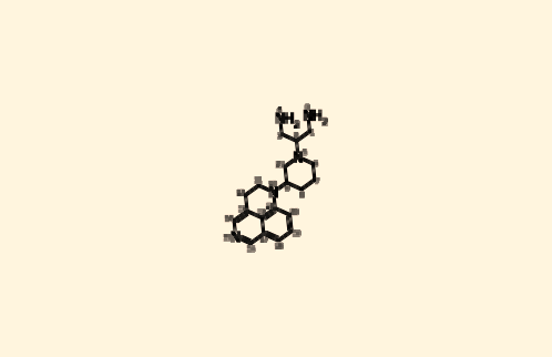 NCC(CN)N1CCCC(N2CCc3cncc4cccc2c34)C1